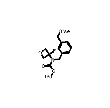 COCc1cccc(CN(C(=O)OC(C)(C)C)C2(F)COC2)c1